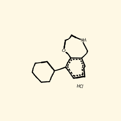 Cl.c1cc2c(c(C3CCCCC3)c1)OCCNC2